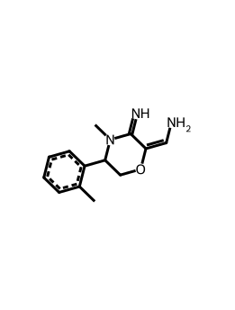 Cc1ccccc1C1CO/C(=C/N)C(=N)N1C